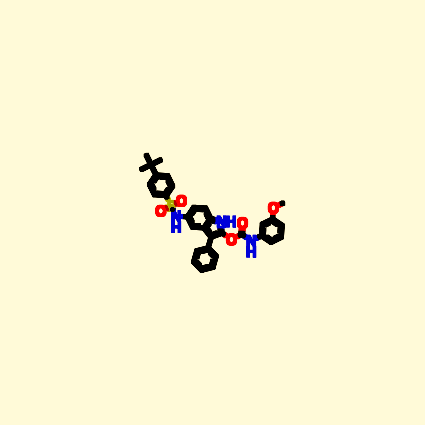 COc1cccc(NC(=O)Oc2[nH]c3ccc(NS(=O)(=O)c4ccc(C(C)(C)C)cc4)cc3c2-c2ccccc2)c1